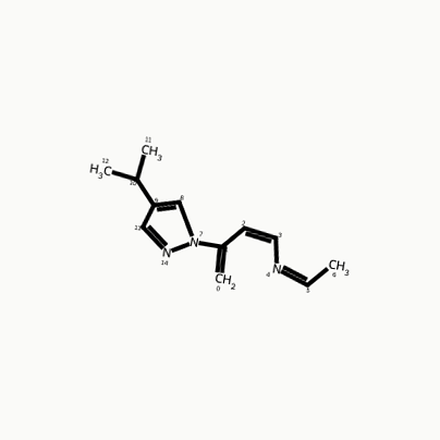 C=C(/C=C\N=C/C)n1cc(C(C)C)cn1